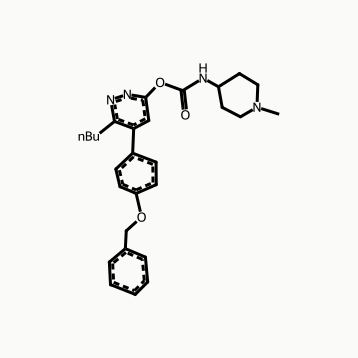 CCCCc1nnc(OC(=O)NC2CCN(C)CC2)cc1-c1ccc(OCc2ccccc2)cc1